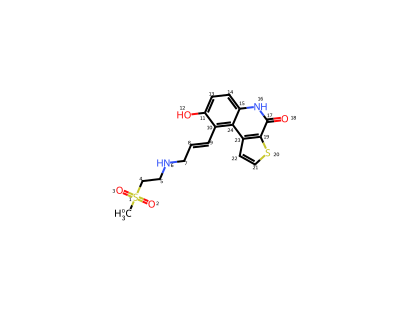 CS(=O)(=O)CCNCC=Cc1c(O)ccc2[nH]c(=O)c3sccc3c12